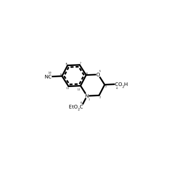 CCOC(=O)N1CC(C(=O)O)Oc2ccc(C#N)cc21